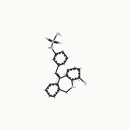 CS(=O)(=O)Nc1cccc(/C=C2/c3ccccc3COc3c(Cl)cccc32)c1